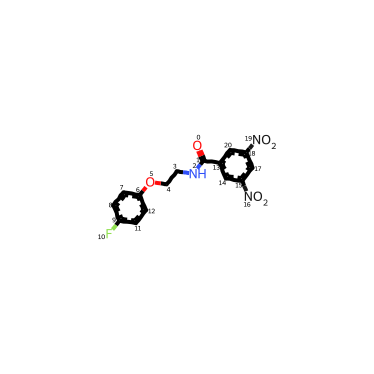 O=C(NCCOc1ccc(F)cc1)c1cc([N+](=O)[O-])cc([N+](=O)[O-])c1